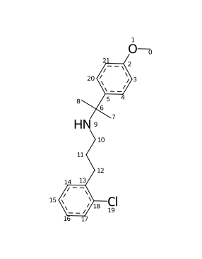 COc1ccc(C(C)(C)NCCCc2ccccc2Cl)cc1